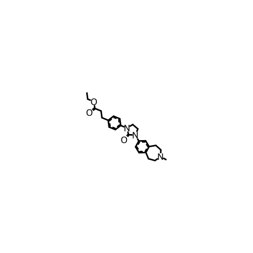 CCOC(=O)CCc1ccc(N2CCN(c3ccc4c(c3)CCN(C)CC4)C2=O)cc1